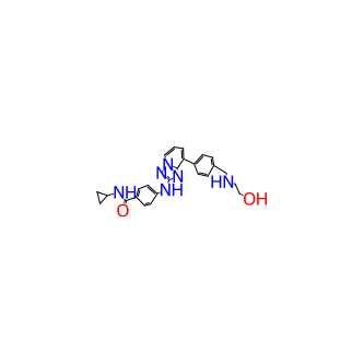 O=C(NC1CC1)c1ccc(Nc2nc3c(-c4ccc(CNCCO)cc4)cccn3n2)cc1